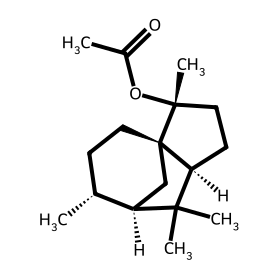 CC(=O)O[C@]1(C)CC[C@H]2C(C)(C)[C@@H]3C[C@@]21CC[C@H]3C